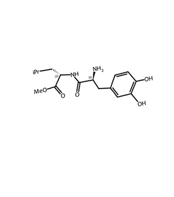 COC(=O)[C@H](CC(C)C)NC(=O)[C@@H](N)Cc1ccc(O)c(O)c1